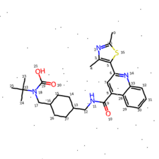 Cc1nc(C)c(-c2cc(C(=O)NCC3CCC(CN(C(=O)O)C(C)(C)C)CC3)c3ccccc3n2)s1